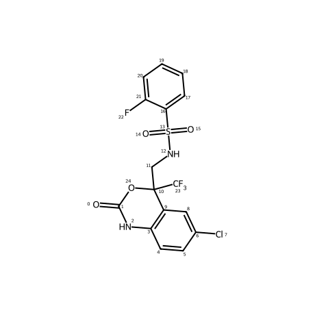 O=C1Nc2ccc(Cl)cc2C(CNS(=O)(=O)c2ccccc2F)(C(F)(F)F)O1